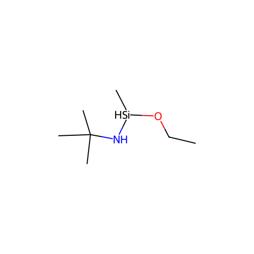 CCO[SiH](C)NC(C)(C)C